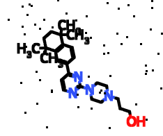 CC1(C)CCC(C)(C)c2cc(-c3ccnc(N4CCN(CCCO)CC4)n3)ccc21